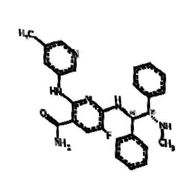 CN[C@@H](c1ccccc1)[C@H](Nc1nc(Nc2cncc(C)c2)c(C(N)=O)cc1F)c1ccccc1